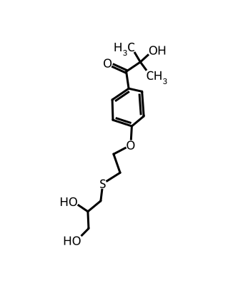 CC(C)(O)C(=O)c1ccc(OCCSCC(O)CO)cc1